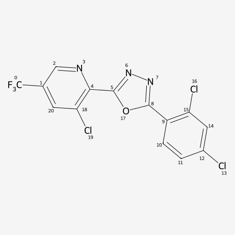 FC(F)(F)c1cnc(-c2nnc(-c3ccc(Cl)cc3Cl)o2)c(Cl)c1